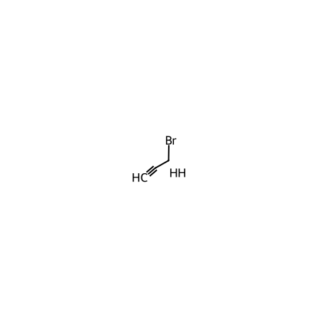 C#CCBr.[HH]